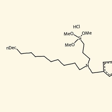 CCCCCCCCCCCCCCCCCCCN(CCC[Si](OC)(OC)OC)Cc1ccccc1.Cl